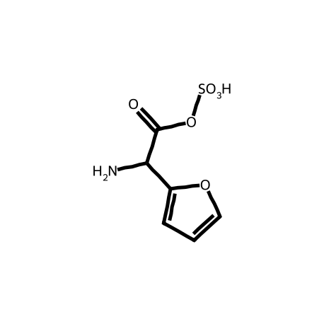 NC(C(=O)OS(=O)(=O)O)c1ccco1